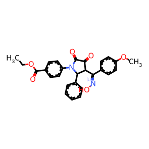 CCOC(=O)c1ccc(N2C(=O)C(=O)C(/C(=N\O)c3ccc(OC)cc3)C2c2ccccc2)cc1